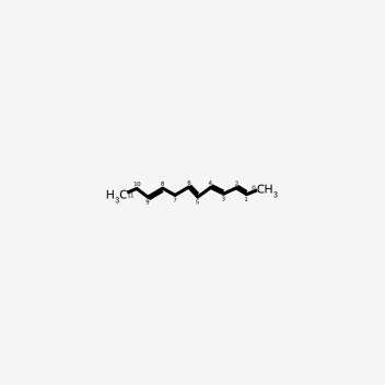 CC=CC=CC=CCC=CCC